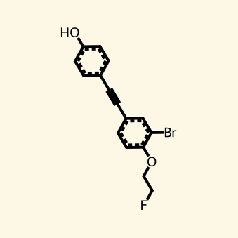 Oc1ccc(C#Cc2ccc(OCCF)c(Br)c2)cc1